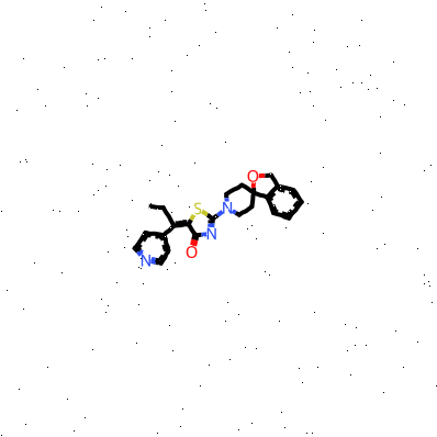 CC/C(=C1\SC(N2CCC3(CC2)OCc2ccccc23)=NC1=O)c1ccncc1